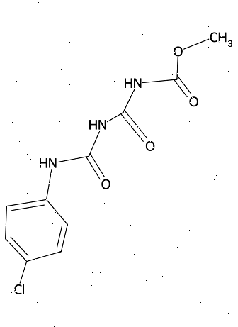 COC(=O)NC(=O)NC(=O)Nc1ccc(Cl)cc1